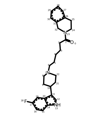 O=C(CCCCCN1CCC(c2c[nH]c3ccc(F)cc23)CC1)N1CCc2ccccc2C1